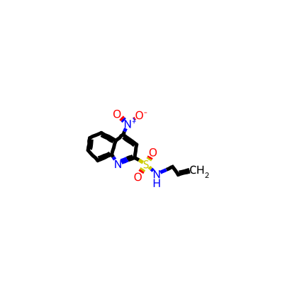 C=CCNS(=O)(=O)c1cc([N+](=O)[O-])c2ccccc2n1